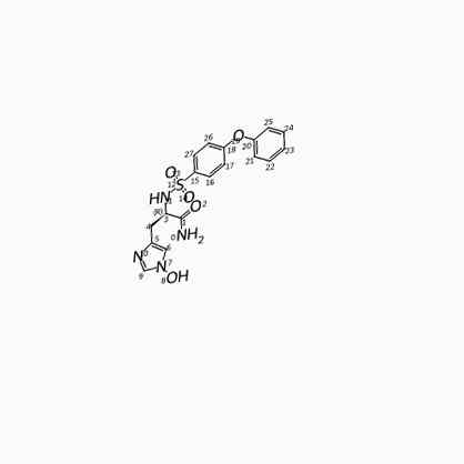 NC(=O)[C@@H](Cc1cn(O)cn1)NS(=O)(=O)c1ccc(Oc2ccccc2)cc1